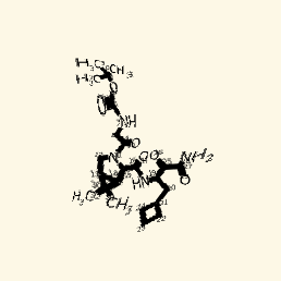 CC(C)(C)OC(=O)NCC(=O)N1CC2C(C1C(=O)NC(CC1CCC1)C(=O)C(N)=O)C2(C)C